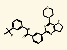 O=C(Nc1cccc(C(F)(F)F)c1)c1cccc(-c2nc3c(c(N4CCOCC4)n2)NCC3)c1